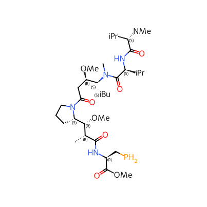 CC[C@H](C)[C@@H]([C@@H](CC(=O)N1CCC[C@H]1[C@H](OC)[C@@H](C)C(=O)N[C@@H](CP)C(=O)OC)OC)N(C)C(=O)[C@@H](NC(=O)[C@@H](NC)C(C)C)C(C)C